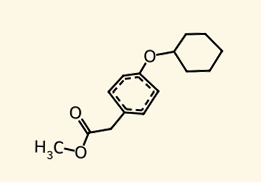 COC(=O)Cc1ccc(OC2CCCCC2)cc1